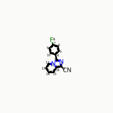 N#Cc1nc(-c2ccc(F)cc2)n2ccccc12